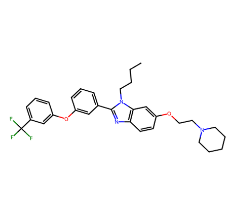 CCCCn1c(-c2cccc(Oc3cccc(C(F)(F)F)c3)c2)nc2ccc(OCCN3CCCCC3)cc21